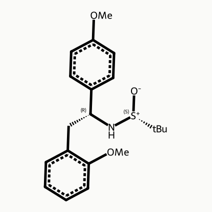 COc1ccc([C@@H](Cc2ccccc2OC)N[S@+]([O-])C(C)(C)C)cc1